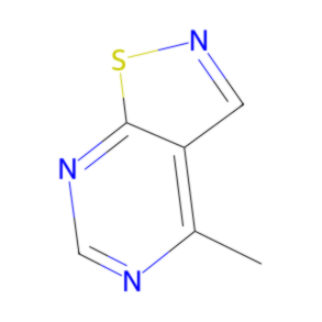 Cc1ncnc2sncc12